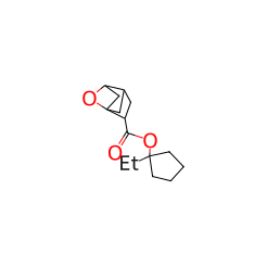 CCC1(OC(=O)C2CC3CC24CC3O4)CCCC1